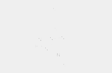 Cc1cc(C(C)Nc2ccc(Cl)nc2C(N)=NO)c2oc(-c3cccnc3)c(C)c(=O)c2c1